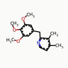 COc1cc(Cc2nccc(C)c2C)cc(OC)c1OC